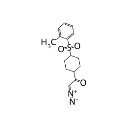 Cc1ccccc1S(=O)(=O)C1CCC(C(=O)C=[N+]=[N-])CC1